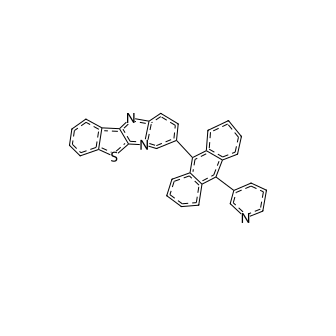 c1cncc(-c2c3ccccc3c(-c3ccc4nc5c6ccccc6sc5n4c3)c3ccccc23)c1